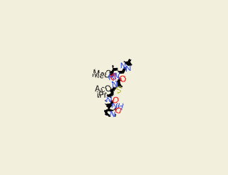 COC(=O)[C@@H](C)C[C@H](Cc1ncc(C)cn1)NC(=O)c1csc([C@@H](C[C@H](C(C)C)N(C)C(=O)C2(NC(=O)[C@H]3CCCCN3C)CC2)OC(C)=O)n1